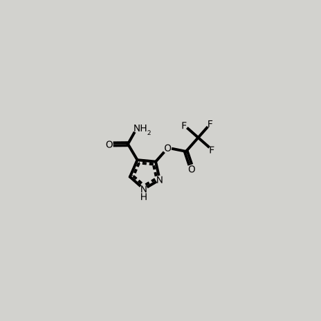 NC(=O)c1c[nH]nc1OC(=O)C(F)(F)F